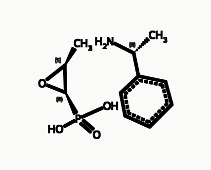 C[C@@H](N)c1ccccc1.C[C@@H]1O[C@@H]1P(=O)(O)O